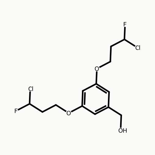 OCc1cc(OCCC(F)Cl)cc(OCCC(F)Cl)c1